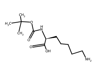 CC(C)(C)OC(=O)N[C@@H](CCCCCN)C(=O)O